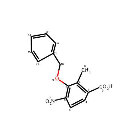 Cc1c(C(=O)O)ccc([N+](=O)[O-])c1OCc1ccccc1